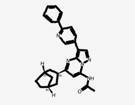 CC(=O)Nc1cc([C@H]2C[C@@H]3CC[C@@H](C3)C2)nc2c(-c3ccc(-c4ccccc4)nc3)cnn12